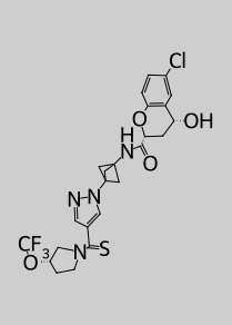 O=C(NC12CC(n3cc(C(=S)N4CC[C@H](OC(F)(F)F)C4)cn3)(C1)C2)[C@H]1C[C@@H](O)c2cc(Cl)ccc2O1